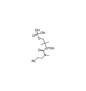 CN(CCC#N)C(=O)[C@H](O)C(C)(C)COP(=O)(O)O